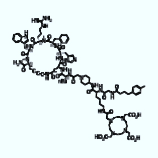 CCCC[C@H](NC(=O)CN1CCC(NC(=O)C(CCCCNC(=O)CN2CCN(CC(=O)O)CCN(CC(=O)O)CCN(CC(=O)O)CC2)NC(=O)CNC(=O)CCCc2ccc(C)cc2)CC1)C(=O)NC1CC(=O)NCCCC[C@@H](C(N)=O)N(C)C(=O)[C@H](Cc2c[nH]c3ccccc23)NC(=O)[C@H](CCCNC(=N)N)N(C)C(=O)[C@@H](Cc2ccccc2)NC(=O)[C@H](Cc2cnc[nH]2)NC1=O